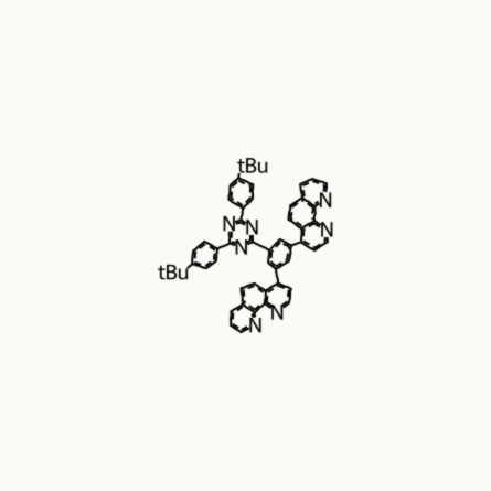 CC(C)(C)c1ccc(-c2nc(-c3ccc(C(C)(C)C)cc3)nc(-c3cc(-c4ccnc5c4ccc4cccnc45)cc(-c4ccnc5c4ccc4cccnc45)c3)n2)cc1